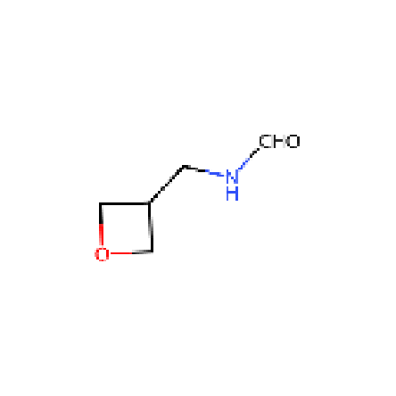 O=CNCC1COC1